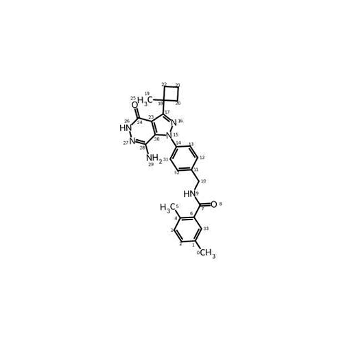 Cc1ccc(C)c(C(=O)NCc2ccc(-n3nc(C4(C)CCC4)c4c(=O)[nH]nc(N)c43)cc2)c1